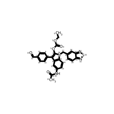 CCOC(=O)Oc1c(-c2ccc(C=O)cc2)c2cc(NC(C)=O)ccc2n1Cc1ccc2nsnc2c1